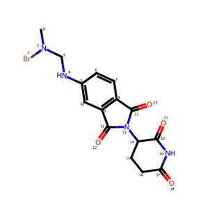 CN(Br)CNc1ccc2c(c1)C(=O)N(C1CCC(=O)NC1=O)C2=O